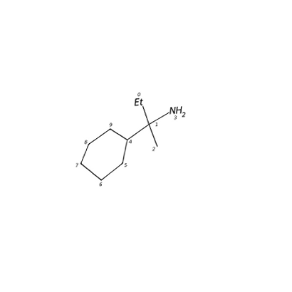 CCC(C)(N)C1CCCCC1